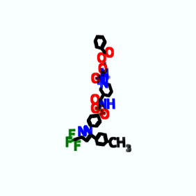 Cc1ccc(-c2cc(C(F)(F)F)nn2-c2ccc(S(=O)(=O)NC(=O)C3CCCN([N+]([O-])=NOCOC(=O)c4ccccc4)C3)cc2)cc1